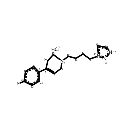 Cl.Fc1ccc(C2=CCN(CCCCn3ccnn3)CC2)cc1